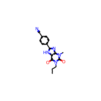 CCCn1c(=O)c2[nH]c(-c3ccc(C#N)cc3)nc2n(C)c1=O